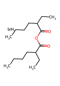 CCCCC(CC)C(=O)OC(=O)C(CC)CCCC.[SrH2]